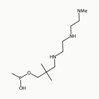 CNCCNCCNCC(C)(C)COP(C)O